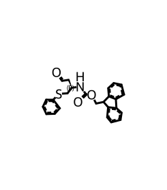 O=CC[C@H](CSc1ccccc1)NC(=O)OCC1c2ccccc2-c2ccccc21